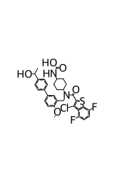 COc1ccc(-c2ccc(C(C)O)cc2)cc1CN(C(=O)c1sc2c(F)ccc(F)c2c1Cl)[C@H]1CC[C@H](NC(=O)O)CC1